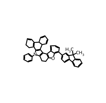 CC1(C)c2ccccc2-c2ccc(-c3cccc4c5c(oc34)CCc3c-5c4c(n3-c3ccccc3)C3=C(C=CCC3)C3C=CC=CC43)cc21